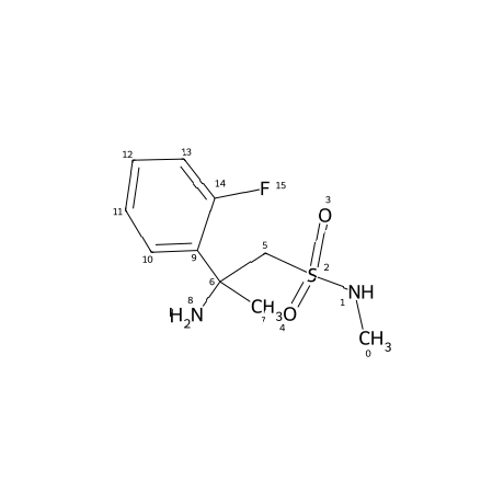 CNS(=O)(=O)CC(C)(N)c1ccccc1F